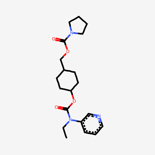 CCN(C(=O)OC1CCC(COC(=O)N2CCCC2)CC1)c1cccnc1